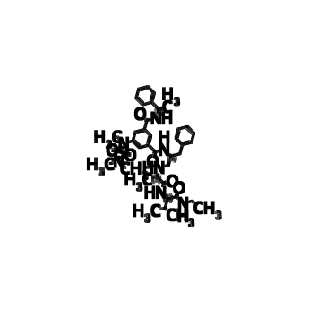 CCNC(=O)[C@@H](NC(=O)[C@H](C)NC[C@H](Cc1ccccc1)NC(=O)c1cc(C(=O)N[C@H](C)c2ccccc2)cc(N(C)S(=O)(=O)N(C)C)c1)C(C)C